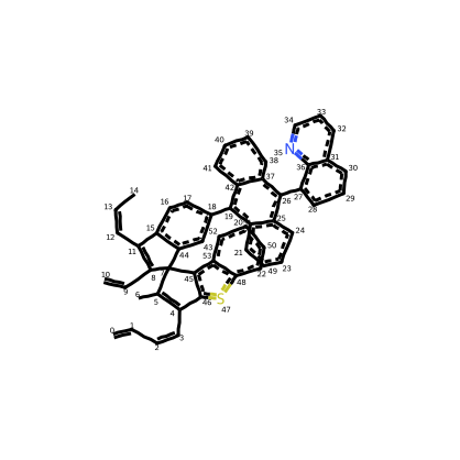 C=C/C=C\C1=C(C)C2(C(C=C)=C(/C=C\C)c3ccc(-c4c5ccccc5c(-c5cccc6cccnc56)c5ccccc45)cc32)c2c1sc1ccccc21